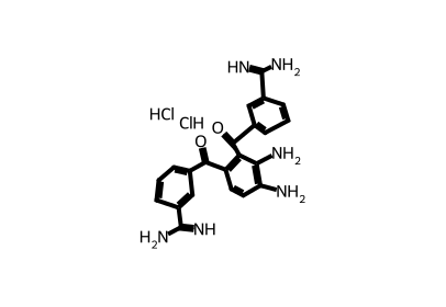 Cl.Cl.N=C(N)c1cccc(C(=O)c2ccc(N)c(N)c2C(=O)c2cccc(C(=N)N)c2)c1